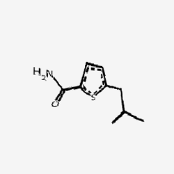 CC(C)Cc1ccc(C(N)=O)s1